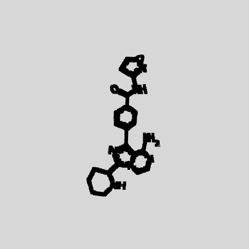 Nc1nccn2c(C3CCCCN3)nc(-c3ccc(C(=O)Nc4ccon4)cc3)c12